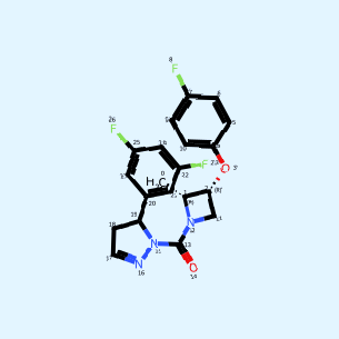 C[C@@H]1[C@H](Oc2ccc(F)cc2)CN1C(=O)N1N=CCC1c1cc(F)cc(F)c1